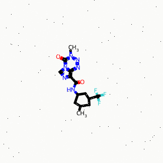 CC1CC(NC(=O)c2ncn3c(=O)n(C)nnc23)CC(C(F)(F)F)C1